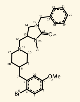 COc1ccc(Br)c(CC2CCN(CC3CN(Cc4ccccc4)C(=O)N3C)CC2)c1